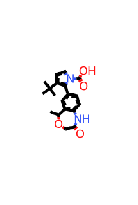 CC1OCC(=O)Nc2ccc(-c3c(C(C)(C)C)ccn3C(=O)O)cc21